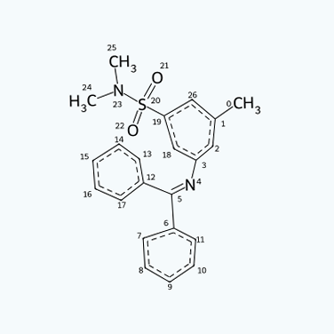 Cc1cc(N=C(c2ccccc2)c2ccccc2)cc(S(=O)(=O)N(C)C)c1